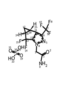 NC(=O)Cn1nc(C(F)(F)F)c2c1C(F)(F)[C@@H]1C[C@H]21.O=S(=O)(O)O